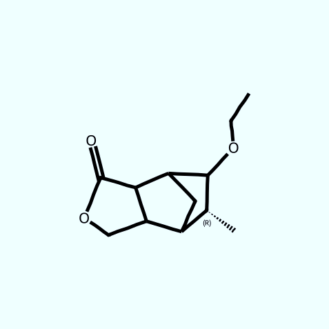 CCOC1C2CC(C3COC(=O)C32)[C@H]1C